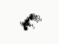 CC(C)(C)OC(N)(C=O)CN(CC(=O)O)C(=O)Cn1cnc2c(NC(=O)OCc3ccccc3)nc(N)nc21